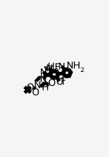 CC(C)(C)OC(=O)N1CCN2c3ncnc4c(F)c(-c5c(F)ccc(N)c5N)c(Cl)c(c34)OC[C@@H]2C1